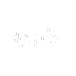 Cc1cc2ncc3c(n2n1)[C@@](C)(C(F)(F)F)CN3C(=O)Nc1cnc(-n2nccn2)c(Cl)c1